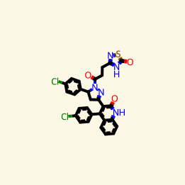 O=C(CCc1nsc(=O)[nH]1)N1N=C(c2c(-c3ccc(Cl)cc3)c3ccccc3[nH]c2=O)CC1c1ccc(Cl)cc1